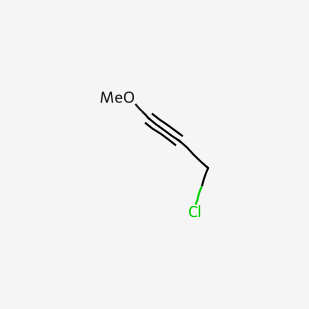 COC#CCCl